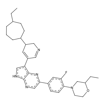 CCC1CCCC(C2C=C(c3c[nH]c4ncc(-c5ccc(N6CCOC(CC)C6)c(F)c5)nc34)C=NC2)CC1